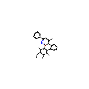 CCc1c(C)c(C)c(-c2ccccc2-c2cnc(-c3ccccc3)cc2C)c(C)c1C